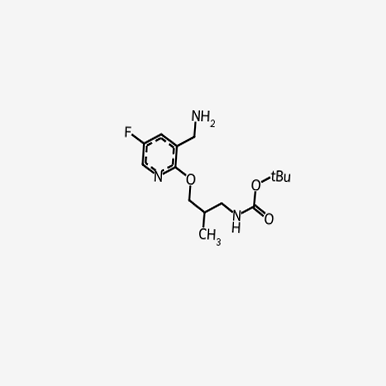 CC(CNC(=O)OC(C)(C)C)COc1ncc(F)cc1CN